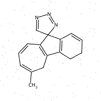 CC1=CC=CC2=C(C1)C1=C(C=CCC1)C21C=NN=N1